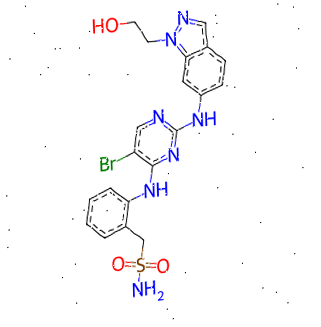 NS(=O)(=O)Cc1ccccc1Nc1nc(Nc2ccc3cnn(CCO)c3c2)ncc1Br